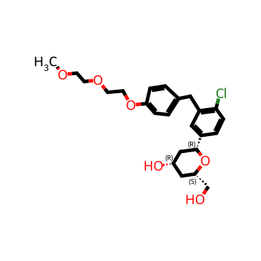 COCCOCCOc1ccc(Cc2cc([C@H]3C[C@@H](O)C[C@@H](CO)O3)ccc2Cl)cc1